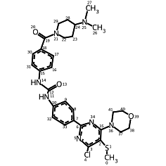 CSc1c(Cl)nc(-c2ccc(NC(=O)Nc3ccc(C(=O)N4CCC(N(C)C)CC4)cc3)cc2)nc1N1CCOCC1